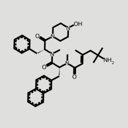 C/C(=C\C(=O)N(C)[C@H](Cc1ccc2ccccc2c1)C(=O)N(C)[C@H](Cc1ccccc1)C(=O)N1CCN(O)CC1)CC(C)(C)N